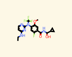 CCNc1ccnc(N(c2cc(F)c(C(=O)NC(O)C3CC3)cc2OC)C(F)(F)F)n1